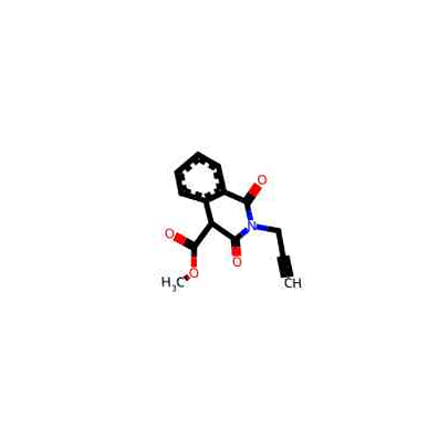 C#CCN1C(=O)c2ccccc2C(C(=O)OC)C1=O